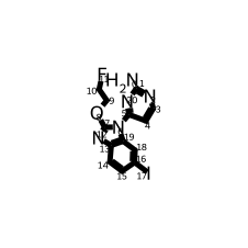 Nc1nccc(-n2c(OCCF)nc3ccc(I)cc32)n1